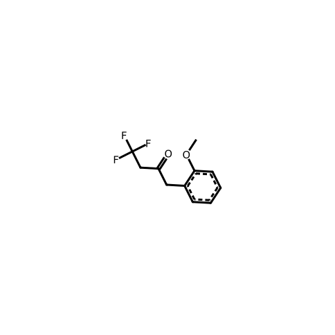 COc1ccccc1CC(=O)CC(F)(F)F